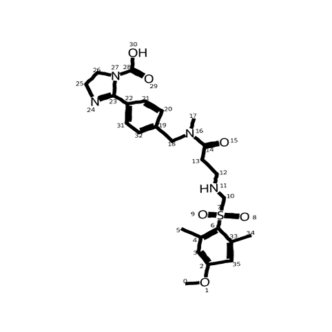 COc1cc(C)c(S(=O)(=O)CNCCC(=O)N(C)Cc2ccc(C3=NCCN3C(=O)O)cc2)c(C)c1